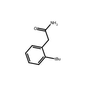 CC(C)(C)c1ccccc1CC(N)=O